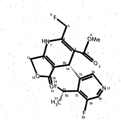 COC(=O)C1=C(CF)NC2=C(C(=O)OC2)[C@H]1c1cncc(F)c1[C@H](C)F